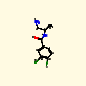 CC(CN)NC(=O)c1ccc(F)c(Cl)c1